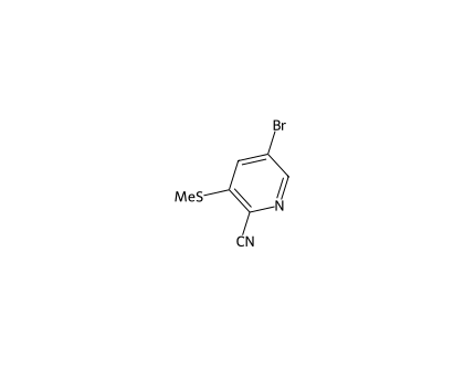 CSc1cc(Br)cnc1C#N